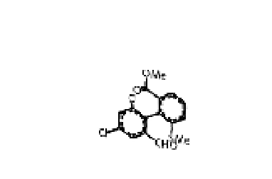 COC(=O)c1cccc(SC)c1-c1c(Cl)cc(Cl)cc1C=O